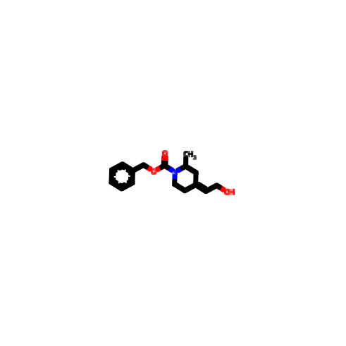 CC1C/C(=C\CO)CCN1C(=O)OCc1ccccc1